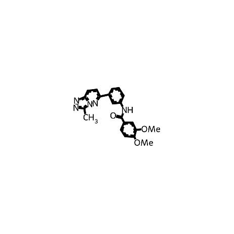 COc1ccc(C(=O)Nc2cccc(-c3ccc4nnc(C)n4n3)c2)cc1OC